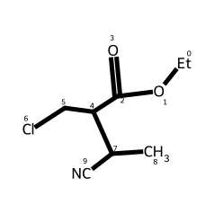 CCOC(=O)C(CCl)C(C)C#N